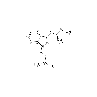 CC(C)CCn1cc(C[C@H](N)CO)c2ccccc21